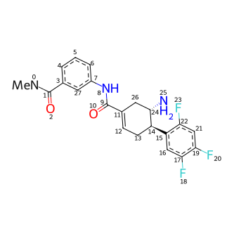 CNC(=O)c1cccc(NC(=O)C2=CC[C@H](c3cc(F)c(F)cc3F)[C@@H](N)C2)c1